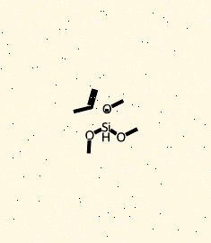 C=CC.CO[SiH](OC)OC